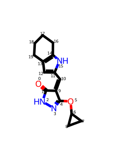 O=C1NN=C(OC2CC2)C1=Cc1cc2c([nH]1)CCCC2